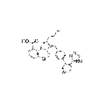 CCCCc1cn(-c2c(Cl)cccc2C(=O)O)c(=O)n1Cc1ccc(-c2cnccc2-c2nnn[nH]2)cc1